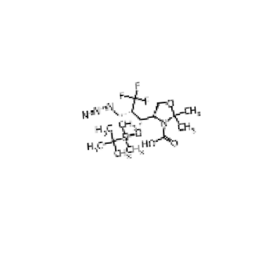 CC1(C)OC[C@H]([C@H](O[Si](C)(C)C(C)(C)C)[C@H](CN=[N+]=[N-])C(F)(F)F)N1C(=O)O